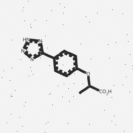 CC(Oc1ccc(-c2nn[nH]n2)cc1)C(=O)O